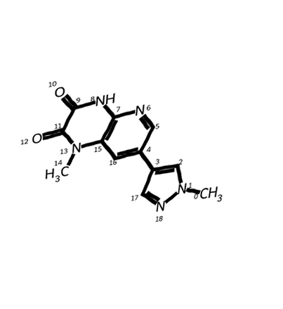 Cn1cc(-c2cnc3[nH]c(=O)c(=O)n(C)c3c2)cn1